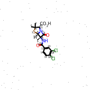 CC1(C)S[C@H]2N(C(=O)[C@]2(C)NC(=O)c2ccc(Cl)c(Cl)c2)[C@H]1C(=O)O